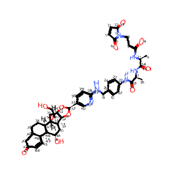 C[C@H](NC(=O)CCN1C(=O)C=CC1=O)C(=O)N[C@@H](C)C(=O)Nc1ccc(CNc2ccc([C@@H]3O[C@@H]4C[C@H]5[C@@H]6CCC7=CC(=O)C=C[C@]7(C)C6[C@@H](O)C[C@]5(C)[C@]4(C(=O)CO)O3)cn2)cc1